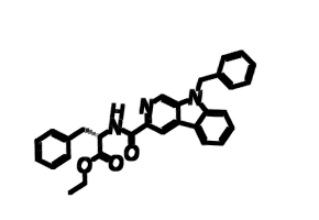 CCOC(=O)[C@H](Cc1ccccc1)NC(=O)c1cc2c3ccccc3n(Cc3ccccc3)c2cn1